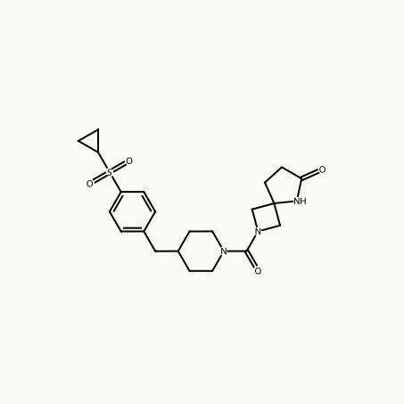 O=C1CCC2(CN(C(=O)N3CCC(Cc4ccc(S(=O)(=O)C5CC5)cc4)CC3)C2)N1